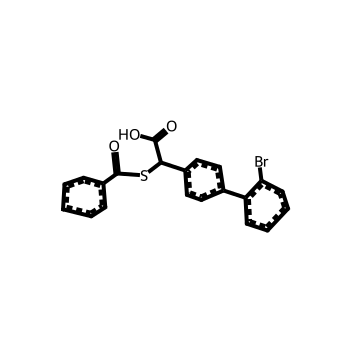 O=C(SC(C(=O)O)c1ccc(-c2ccccc2Br)cc1)c1ccccc1